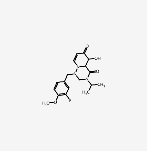 COc1ccc(CN2CN(C(C)C)C(=O)C3C(O)C(=O)C=CN32)cc1F